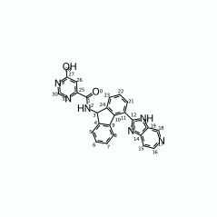 O=C(NC1c2ccccc2-c2c(-c3nc4ccncc4[nH]3)cccc21)c1cc(O)ncn1